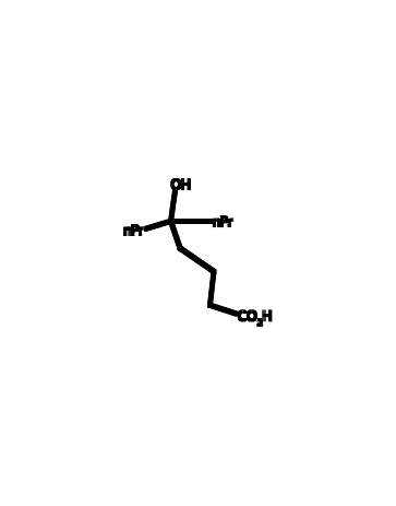 CCCC(O)(CCC)CCCC(=O)O